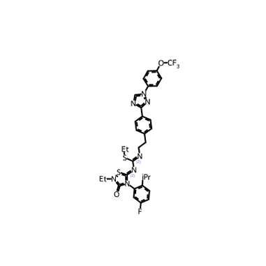 CCSC(=N\CCc1ccc(-c2ncn(-c3ccc(OC(F)(F)F)cc3)n2)cc1)/N=c1\sn(CC)c(=O)n1-c1cc(F)ccc1C(C)C